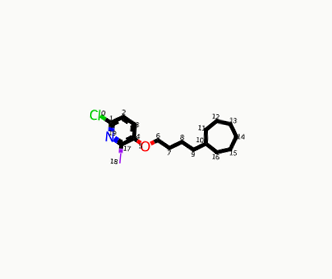 Clc1ccc(OCCCCC2CCCCCC2)c(I)n1